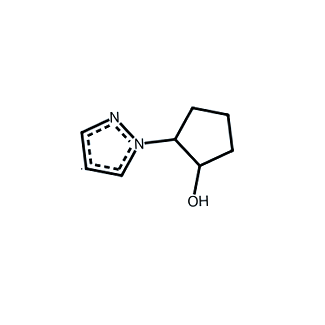 OC1CCCC1n1c[c]cn1